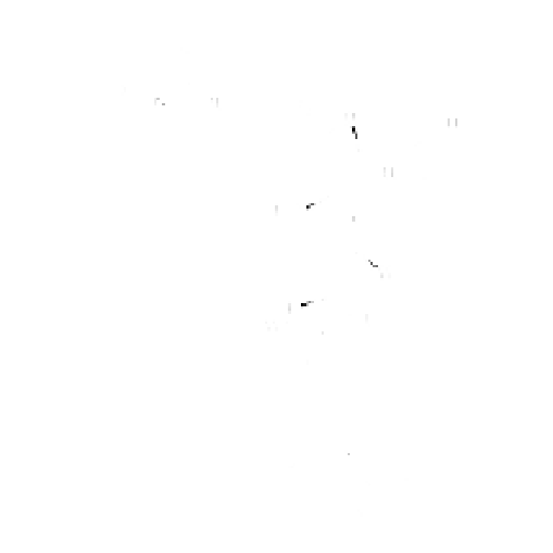 C=C(C)[C@H]1CC[C@]2(NCCN3CCN(C)C3=O)CC[C@]3(C)[C@H](CC[C@@H]4C5(C)CC=C(C6=CCC(CF)(C(=O)O)CC6)C(C)(C)[C@@H]5CC[C@]43C)[C@@H]12